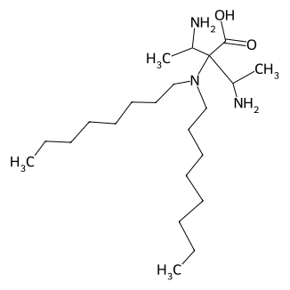 CCCCCCCCN(CCCCCCCC)C(C(=O)O)(C(C)N)C(C)N